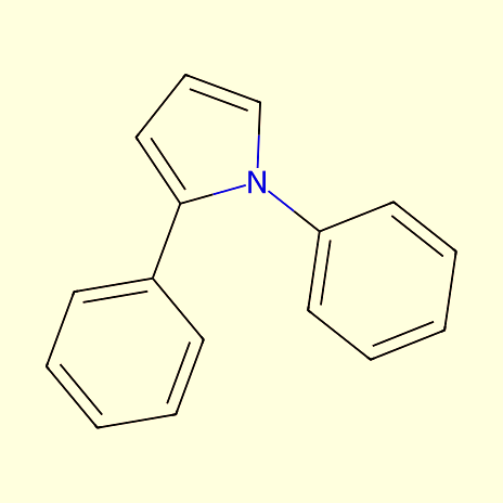 c1ccc(-c2cccn2-c2ccccc2)cc1